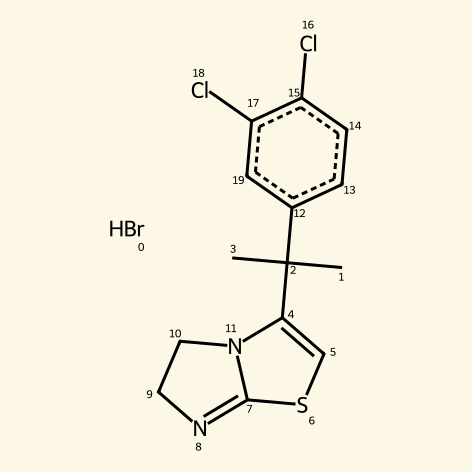 Br.CC(C)(C1=CSC2=NCCN12)c1ccc(Cl)c(Cl)c1